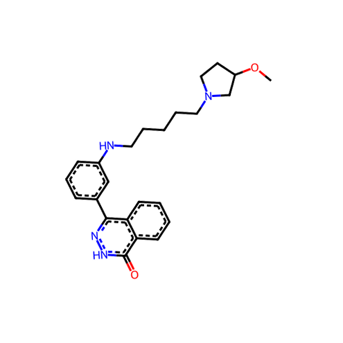 COC1CCN(CCCCCNc2cccc(-c3n[nH]c(=O)c4ccccc34)c2)C1